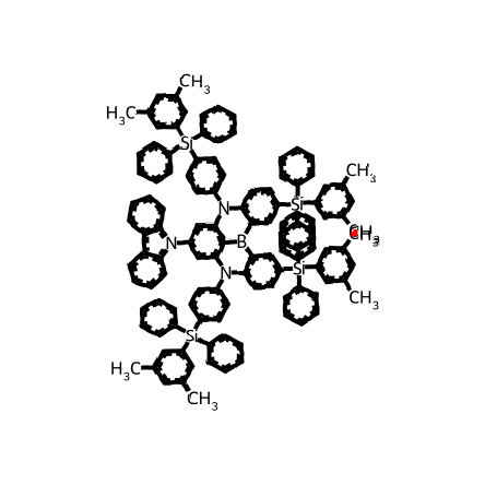 Cc1cc(C)cc([Si](c2ccccc2)(c2ccccc2)c2ccc(N3c4ccc([Si](c5ccccc5)(c5ccccc5)c5cc(C)cc(C)c5)cc4B4c5cc([Si](c6ccccc6)(c6ccccc6)c6cc(C)cc(C)c6)ccc5N(c5ccc([Si](c6ccccc6)(c6ccccc6)c6cc(C)cc(C)c6)cc5)c5cc(-n6c7ccccc7c7ccccc76)cc3c54)cc2)c1